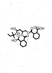 CCC(C)(C)OC(O)CC(COC(=O)C1CCCCC1C(O)O)OC(=O)C1CCCCC1C(O)O